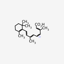 CC(C=CC1=C(C)CCCC1(C)C)=C/C=C\C(C)=CC(=O)O